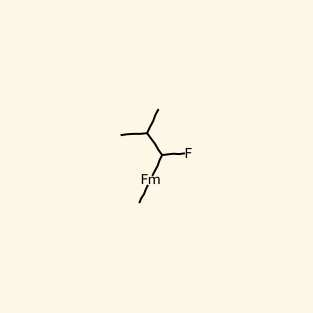 [CH3][Fm][CH](F)C(C)C